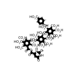 O=C(O)c1c(C(=O)O)c(C(=O)O)c(C(=O)O)c(C(=O)O)c1C(=O)O.O=C(O)c1c(C(=O)O)c(C(=O)O)c(C(=O)O)c(C(=O)O)c1C(=O)O.O=C(O)c1ccc(O)cc1.O=C(OC(=O)c1c(C(=O)O)c(C(=O)O)c(C(=O)O)c(C(=O)O)c1C(=O)O)c1cc(=O)[nH]c(=O)[nH]1